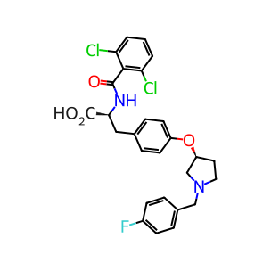 O=C(N[C@@H](Cc1ccc(O[C@H]2CCN(Cc3ccc(F)cc3)C2)cc1)C(=O)O)c1c(Cl)cccc1Cl